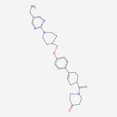 CCc1cnc(N2CCC(COc3ccc(C4=CCC(C(=O)N5CCC(=O)CC5)CC4)cc3)CC2)nc1